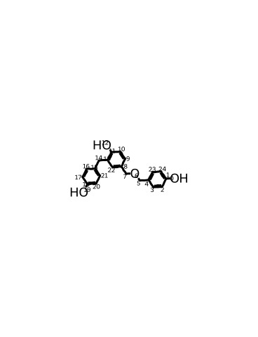 Oc1ccc(COCc2ccc(O)c(Cc3ccc(O)cc3)c2)cc1